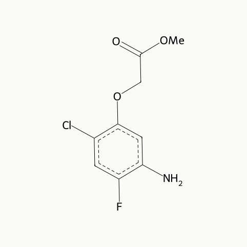 COC(=O)COc1cc(N)c(F)cc1Cl